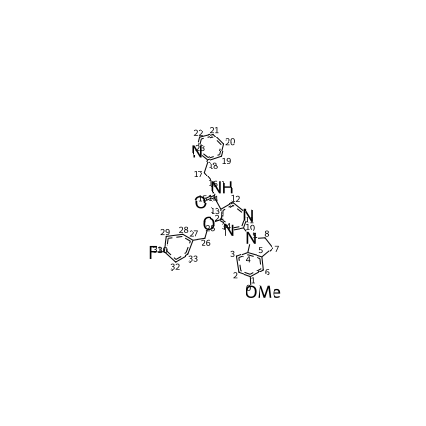 COc1ccc2c(c1)CCN2c1ncc(C(=O)NCc2ccccn2)c(OCc2ccc(F)cc2)n1